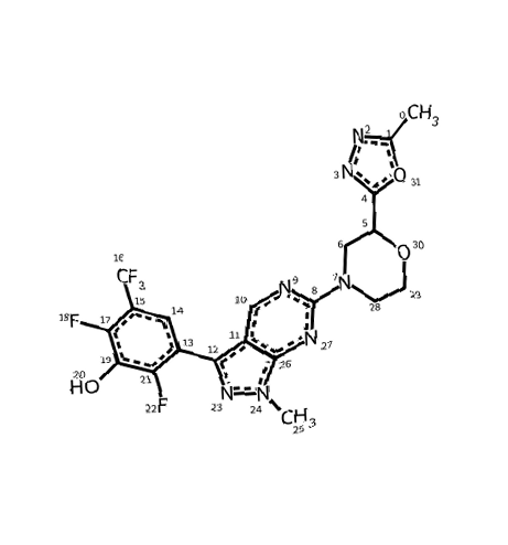 Cc1nnc(C2CN(c3ncc4c(-c5cc(C(F)(F)F)c(F)c(O)c5F)nn(C)c4n3)CCO2)o1